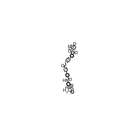 C[C@H]1CCCN1Cc1nc2cc(NC(=O)c3ccc(C4CCN(C(=O)CCN5CCN(c6ccc7c(c6)C(=O)N(C6CCC(=O)NC6=O)C7=O)CC5)CC4)cc3)ccc2[nH]1